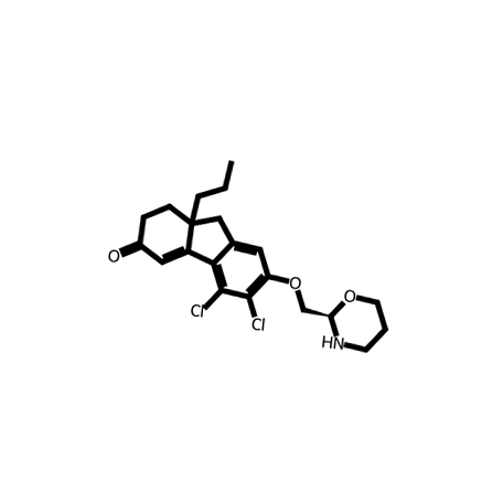 CCCC12CCC(=O)C=C1c1c(cc(OC[C@@H]3NCCCO3)c(Cl)c1Cl)C2